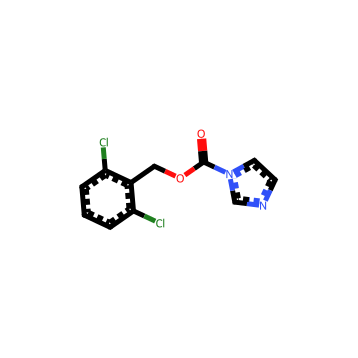 O=C(OCc1c(Cl)cccc1Cl)n1ccnc1